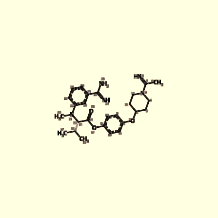 CC(=N)N1CCC(Oc2ccc(OC(=O)[C@H](C(C)C)N(C)c3cccc(C(=N)N)c3)cc2)CC1